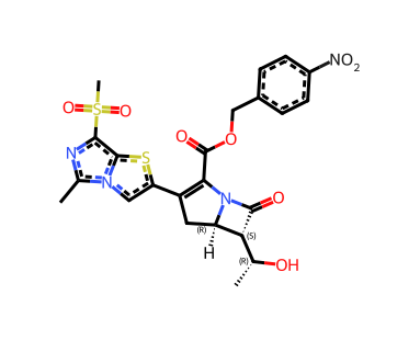 Cc1nc(S(C)(=O)=O)c2sc(C3=C(C(=O)OCc4ccc([N+](=O)[O-])cc4)N4C(=O)[C@H]([C@@H](C)O)[C@H]4C3)cn12